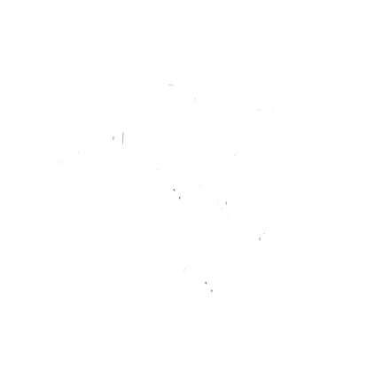 Cc1cncc(CN(Cc2cccc(Cl)c2Cl)C(=O)c2cc(F)cc(F)c2)c1